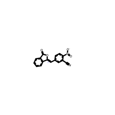 N#Cc1cc(/C=C2\OC(=O)c3ccccc32)ccc1[N+](=O)[O-]